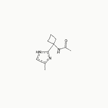 CC(=O)NC1(c2nc(C)c[nH]2)CCC1